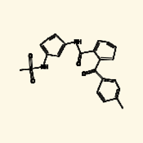 Cc1ccc(C(=O)c2ccccc2C(=O)Nc2cccc(NS(C)(=O)=O)c2)cc1